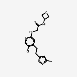 Cc1cc(CCc2cc(NCC(=O)NC3COC3)ncc2Cl)no1